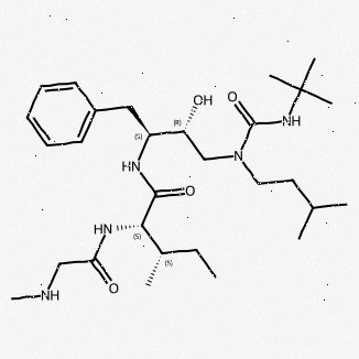 CC[C@H](C)[C@H](NC(=O)CNC)C(=O)N[C@@H](Cc1ccccc1)[C@H](O)CN(CCC(C)C)C(=O)NC(C)(C)C